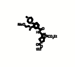 CCOC(=O)n1nc(NC(=O)c2ccc(N3CCN(C)CC3)c(N(C)CCOC)c2)c2c1CN(C(=O)OC(C)(C)C)C2